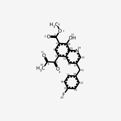 COC(=O)c1cc(C(=O)C(C)=O)c2cc(Cc3ccc(F)cc3)cnc2c1O